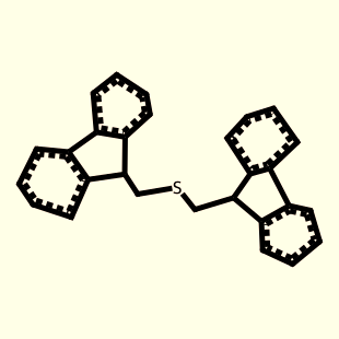 c1ccc2c(c1)-c1ccccc1C2CSCC1c2ccccc2-c2ccccc21